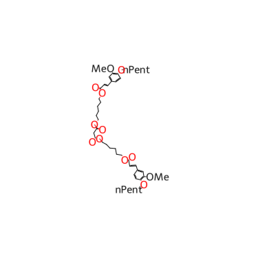 CCCCCOc1ccc(C=CC(=O)OCCCCCCOC(=O)CC(=O)OCCCCCCOC(=O)C=Cc2ccc(OCCCCC)c(OC)c2)cc1OC